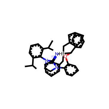 COc1ccccc1N1CCN(c2c(C(C)C)cccc2C(C)C)/C1=[N]/[Hf]([CH2]c1ccccc1)([CH2]c1ccccc1)[CH2]c1ccccc1